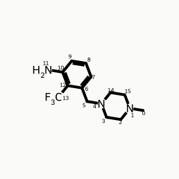 CN1CCN(Cc2cccc(N)c2C(F)(F)F)CC1